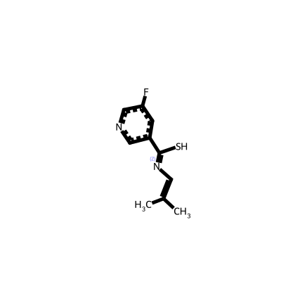 CC(C)=C/N=C(\S)c1cncc(F)c1